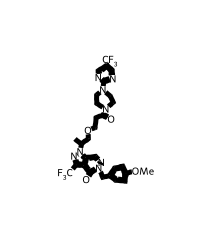 COc1ccc(Cn2ncc3c(c(C(F)(F)F)nn3C(C)COCCC(=O)N3CCN(c4ncc(C(F)(F)F)cn4)CC3)c2=O)cc1